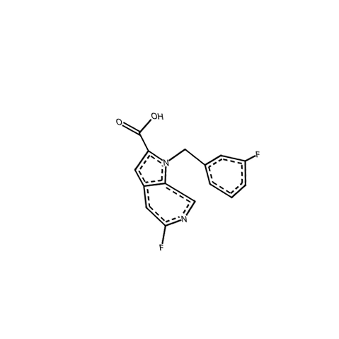 O=C(O)c1cc2cc(F)ncc2n1Cc1cccc(F)c1